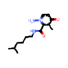 Cc1c(C(=O)NCCCCC(C)C)n(N)ccc1=O